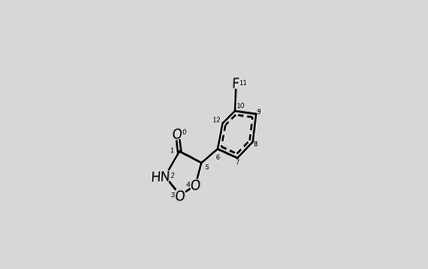 O=C1NOOC1c1cccc(F)c1